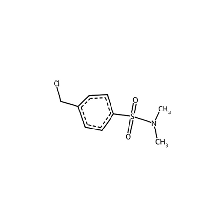 CN(C)S(=O)(=O)c1ccc(CCl)cc1